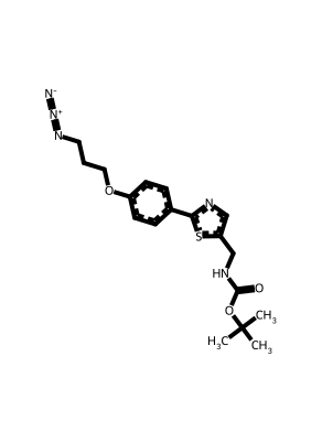 CC(C)(C)OC(=O)NCc1cnc(-c2ccc(OCCCN=[N+]=[N-])cc2)s1